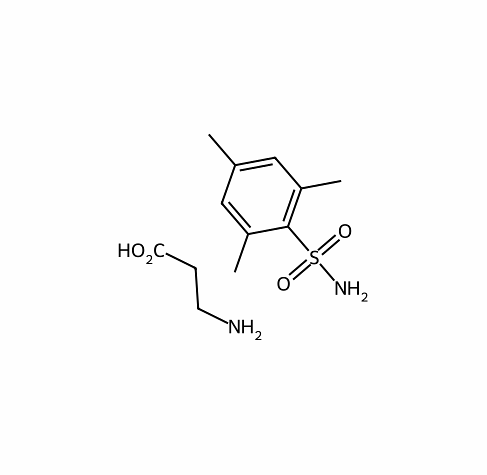 Cc1cc(C)c(S(N)(=O)=O)c(C)c1.NCCC(=O)O